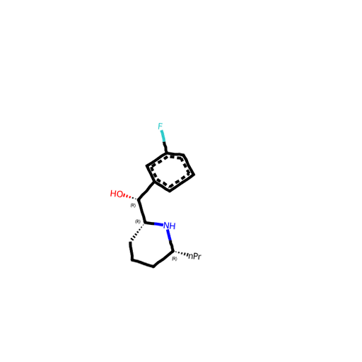 CCC[C@@H]1CCC[C@H]([C@H](O)c2cccc(F)c2)N1